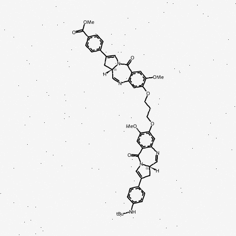 COC(=O)c1ccc(C2=CN3C(=O)c4cc(OC)c(OCCCOc5cc6c(cc5OC)C(=O)N5C=C(c7ccc(NC(C)(C)C)cc7)C[C@H]5C=N6)cc4N=C[C@@H]3C2)cc1